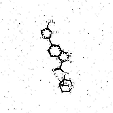 Cc1csc(-c2ccc3c(C(=O)N[C@H]4CN5CCC4CC5)n[nH]c3c2)n1